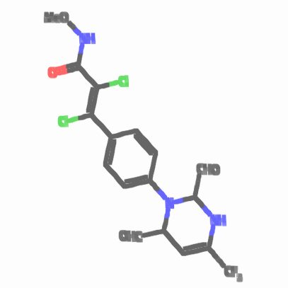 CONC(=O)C(Cl)=C(Cl)c1ccc(N2C(C=O)C=C(C(F)(F)F)NC2C=O)cc1